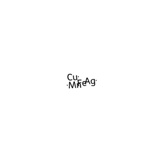 [Ag].[Cu].[Fe].[Mn]